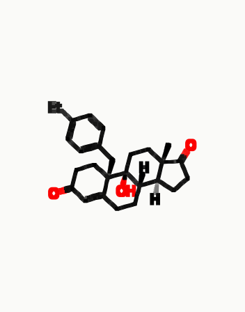 CCc1ccc(C[C@]23CCC(=O)C=C2CC[C@H]2[C@@H]4CCC(=O)[C@@]4(C)CC[C@]23O)cc1